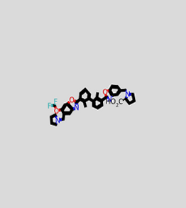 Cc1c(-c2nc3cc(CN4CCC[C@H]4C(=O)O)ccc3o2)cccc1-c1cccc(-c2nc3cc(CN4CCCC4)c(OC(F)F)cc3o2)c1C